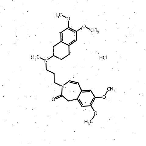 COc1cc2c(cc1OC)CC(=O)N(CCCN(C)C1CCc3cc(OC)c(OC)cc3C1)C=C2.Cl